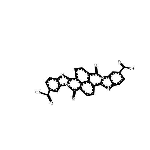 O=C(O)c1ccc2nc3c4ccc5c(=O)n6c7cc(C(=O)O)ccc7nc6c6ccc(c(=O)n3c2c1)c4c56